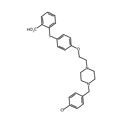 O=C(O)c1ccccc1Sc1ccc(OCCN2CCN(Cc3ccc(Cl)cc3)CC2)cc1